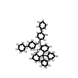 c1ccc(-c2ccc(N(c3ccc(-c4ccccc4)cc3)c3cccc4c3Sc3ccccc3C4(c3ccccc3)c3ccccc3)cc2)cc1